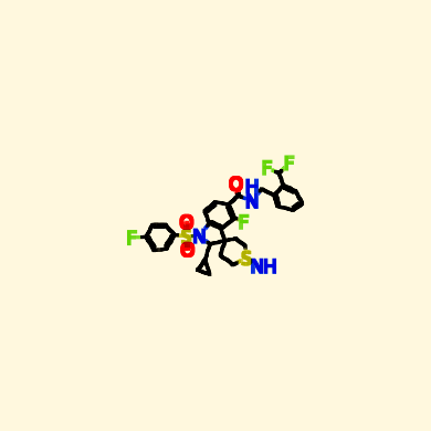 N=S1CCC2(CC1)c1c(ccc(C(=O)NCc3ccccc3C(F)F)c1F)N(S(=O)(=O)c1ccc(F)cc1)C2C1CC1